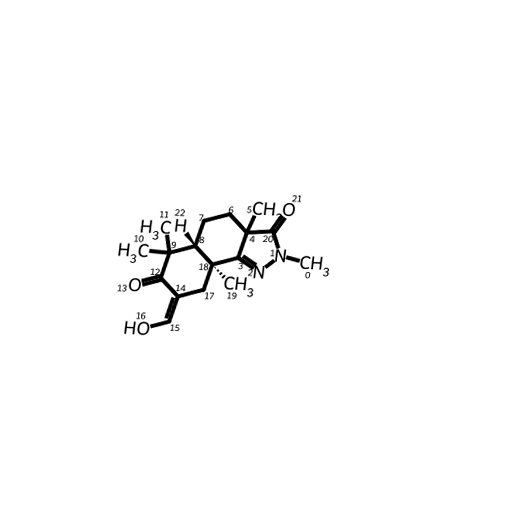 CN1N=C2C(C)(CC[C@H]3C(C)(C)C(=O)/C(=C\O)C[C@]23C)C1=O